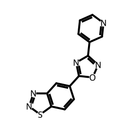 c1cncc(-c2noc(-c3ccc4snnc4c3)n2)c1